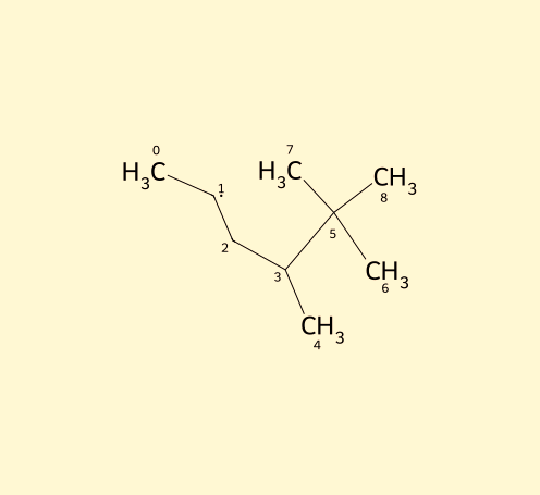 C[CH]CC(C)C(C)(C)C